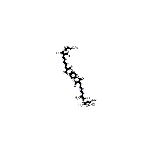 CC(=O)OCCC1(C)OC(=O)C(/C=C/C=C/C=C2C(=O)OC3(CCC4(CC3)OC(=O)C(=C/C=C/C=C/C(C)=C(\O)OC(C)(CCOC(C)=O)OC=O)C(=O)O4)OC2=O)=C(O)O1